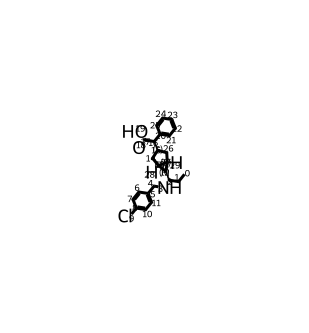 CCC(NCc1ccc(Cl)cc1)[C@H]1[C@@H]2C[C@@H](C(C(=O)O)c3ccccc3)C[C@@H]21